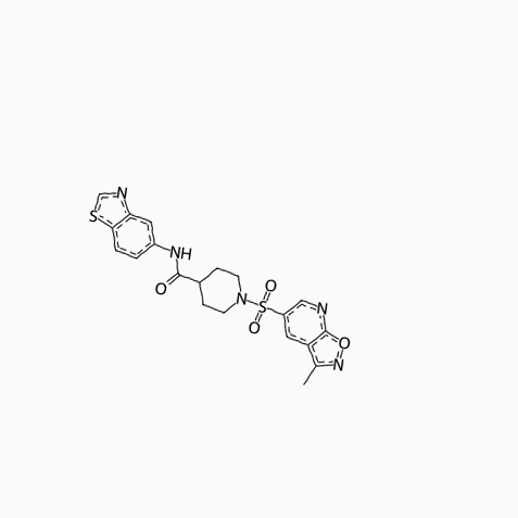 Cc1noc2ncc(S(=O)(=O)N3CCC(C(=O)Nc4ccc5scnc5c4)CC3)cc12